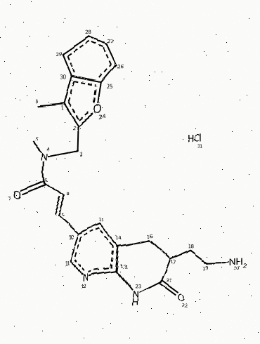 Cc1c(CN(C)C(=O)C=Cc2cnc3c(c2)CC(CCN)C(=O)N3)oc2ccccc12.Cl